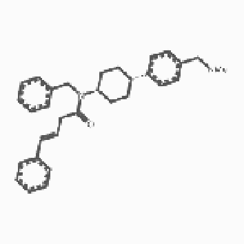 CNCc1ccc([C@H]2CC[C@H](N(Cc3ccccc3)C(=O)CC=Cc3ccccc3)CC2)cc1